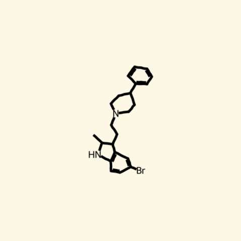 CC1Nc2ccc(Br)cc2C1CCN1CCC(c2ccccc2)CC1